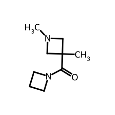 CN1CC(C)(C(=O)N2CCC2)C1